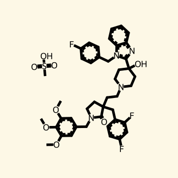 COc1cc(CN2CCC(CCN3CCC(O)(c4nc5ccccc5n4Cc4ccc(F)cc4)CC3)(Cc3ccc(F)cc3F)C2=O)cc(OC)c1OC.CS(=O)(=O)O